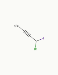 CCCC#CC(Br)I